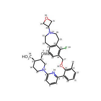 CO[C@H]1CN(c2cccc(-c3cccc(C)c3OCc3ccc4c(c3F)CCN(C3COC3)CC4)n2)CC[C@H]1C(=O)O